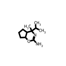 CC(C)C1(C)N=C(N)OC2CCCC21